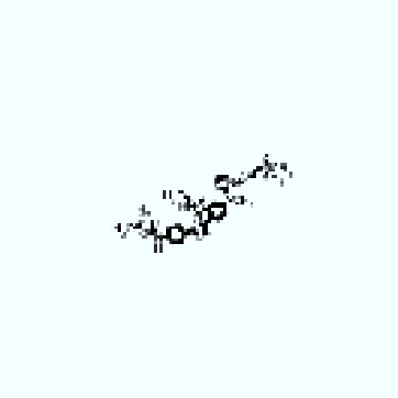 CCNS(=O)(=O)c1cc(N(C)c2nccn2COCC[Si](C)(C)C)ccc1-c1cnc(C2CCC(NC(=O)OC(C)C)CC2)s1